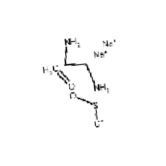 C=O.NCCN.[Na+].[Na+].[O-]S[O-]